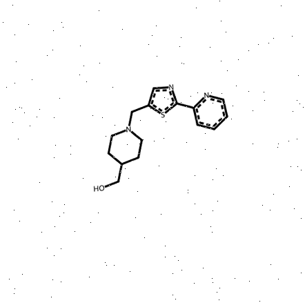 OCC1CCN(Cc2cnc(-c3ccccn3)s2)CC1